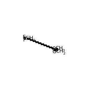 C=C(C)C(=O)OCCCCCCCCCCCCCCCCCCC[SiH2]C(F)F